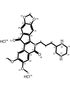 COc1cc2c3c(n(CCCC4CNCCN4)c(=O)c2cc1OC)-c1cc2c(cc1C3=O)OCO2.Cl.Cl